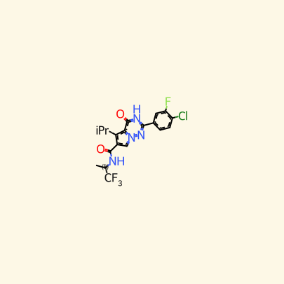 CC(C)c1c(C(=O)N[C@H](C)C(F)(F)F)cn2nc(-c3ccc(Cl)c(F)c3)[nH]c(=O)c12